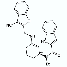 CCN(C(=O)c1cc2ccccc2[nH]1)[C@@H]1C=C(NCc2oc3ccccc3c2C#N)CCC1